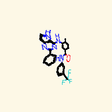 Cc1ccc(C(=O)Nc2cccc(C(F)(F)F)c2)cc1Nc1nc(-c2ccccc2)nc2cc[nH]c12